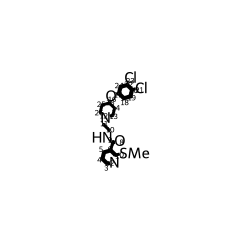 CSc1ncccc1C(=O)NCCN1CCC(Oc2ccc(Cl)c(Cl)c2)CC1